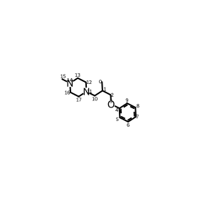 CC(COc1ccccc1)CN1CCN(C)CC1